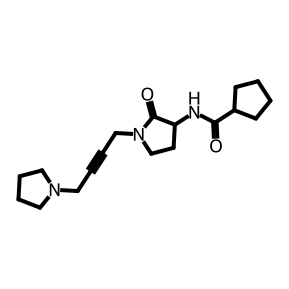 O=C(NC1CCN(CC#CCN2CCCC2)C1=O)C1CCCC1